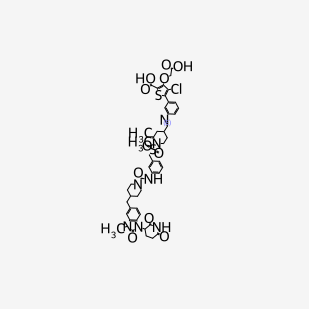 Cn1c(=O)n(C2CCC(=O)NC2=O)c2ccc(CC3CCN(C(=O)Nc4cccc(CS(=O)(=O)N5CCC(/C=N/c6cccc(-c7sc(C(=O)O)c(OCC(=O)O)c7Cl)c6)CC5(C)C)c4)CC3)cc21